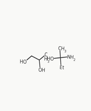 CC(O)CO.CCC(C)(N)O